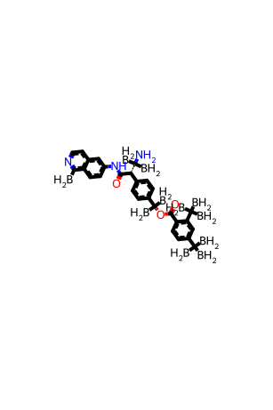 Bc1nccc2cc(NC(=O)[C@@H](c3ccc(C(B)(B)OC(=O)c4ccc(C(B)(B)B)cc4C(B)(B)B)cc3)C(B)(B)N)ccc12